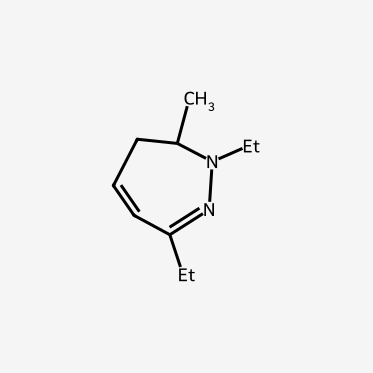 CCC1=NN(CC)C(C)CC=C1